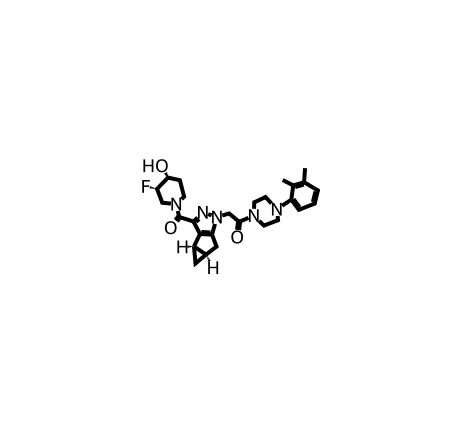 Cc1cccc(N2CCN(C(=O)Cn3nc(C(=O)N4CC[C@H](O)[C@@H](F)C4)c4c3C[C@H]3C[C@@H]43)CC2)c1C